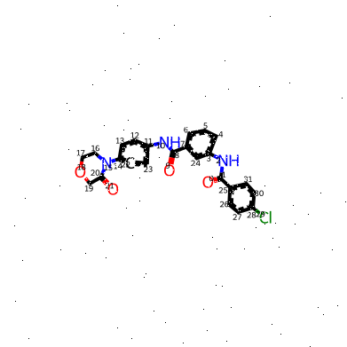 O=C(Nc1cccc(C(=O)Nc2ccc(N3CCOCC3=O)cc2)c1)c1ccc(Cl)cc1